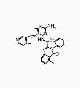 CCC(Nc1nc(N)nc(C)c1/C=C/c1cnccc1C)c1nc2cccc(C)c2c(=O)n1-c1ccccc1